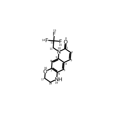 O=c1ccc2cc3c(cc2n1CC(F)(F)F)OCCN3